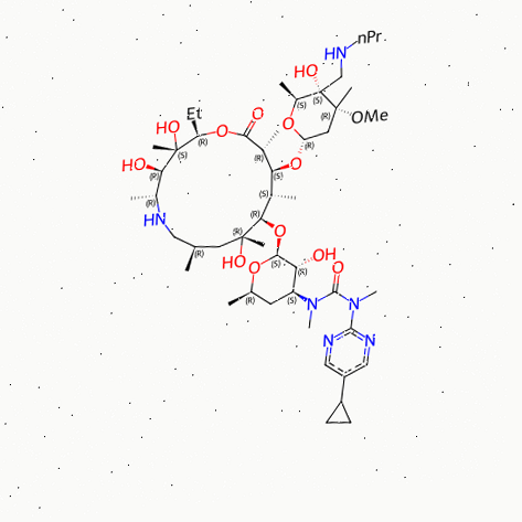 CCCNC[C@]1(O)[C@H](C)O[C@@H](O[C@H]2[C@H](C)[C@@H](O[C@@H]3O[C@H](C)C[C@H](N(C)C(=O)N(C)c4ncc(C5CC5)cn4)[C@H]3O)[C@](C)(O)C[C@@H](C)CN[C@H](C)[C@@H](O)[C@](C)(O)[C@@H](CC)OC(=O)[C@@H]2C)C[C@@]1(C)OC